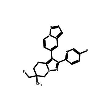 CC1(CF)CCc2c(-c3ccn4nccc4c3)c(-c3ccc(F)cn3)nn2C1